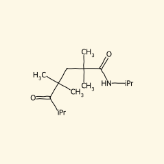 CC(C)NC(=O)C(C)(C)CC(C)(C)C(=O)C(C)C